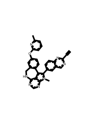 C#Cc1ncc2cc(-c3c4c5c(ncnc5n3C)NCc3cc(Oc5cccc(C)n5)ccc3-4)ccc2n1